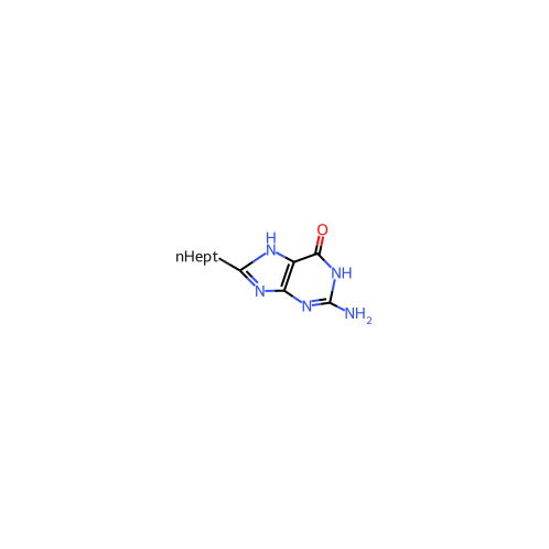 CCCCCCCc1nc2nc(N)[nH]c(=O)c2[nH]1